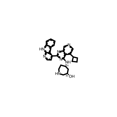 O[C@H]1CNCC[C@H](Nc2nc(-c3ccnc4[nH]c5ccccc5c34)nc3cncc(C4CCC4)c23)C1